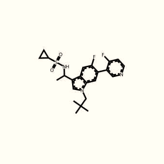 CC(NS(=O)(=O)C1CC1)c1cn(CC(C)(C)C)c2cc(-c3cnccc3F)c(F)cc12